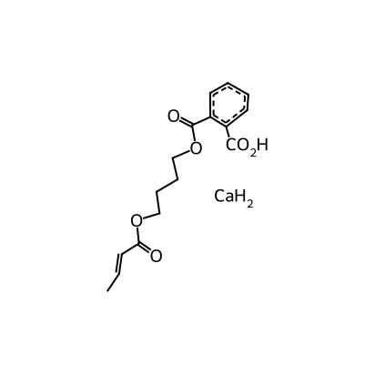 CC=CC(=O)OCCCCOC(=O)c1ccccc1C(=O)O.[CaH2]